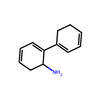 NC1CC=CC=C1C1=CC=CCC1